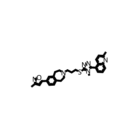 Cc1cc(-c2ccc3c(c2)CCN(CCCSc2nnc(-c4cccc5nc(C)ccc45)n2C)CC3)on1